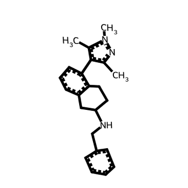 Cc1nn(C)c(C)c1-c1cccc2c1CCC(NCc1ccccc1)C2